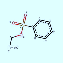 CCCCCCCOS(=O)(=O)c1ccccc1